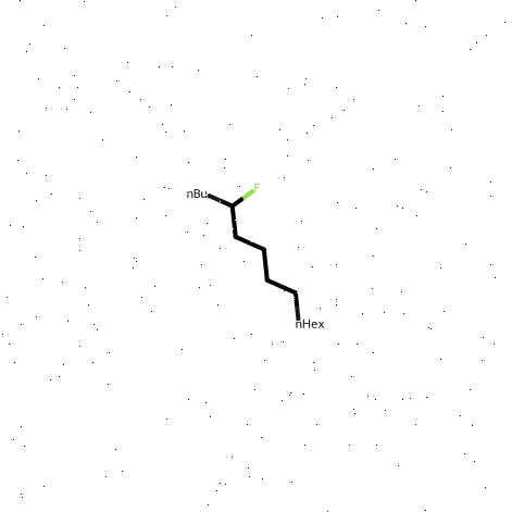 [CH2]CCCC(F)CCCCCCCCCC